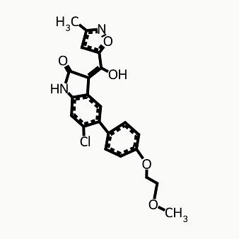 COCCOc1ccc(-c2cc3c(cc2Cl)NC(=O)C3=C(O)c2cc(C)no2)cc1